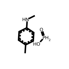 CNc1ccc(C)cc1.O=[PH2]O